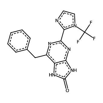 O=c1[nH]c2nc(-c3nccn3C(F)(F)F)nc(Cc3ccccc3)c2[nH]1